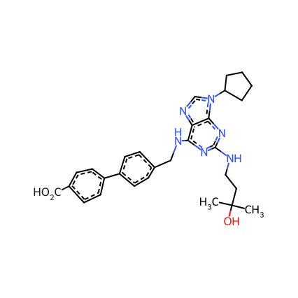 CC(C)(O)CCNc1nc(NCc2ccc(-c3ccc(C(=O)O)cc3)cc2)c2ncn(C3CCCC3)c2n1